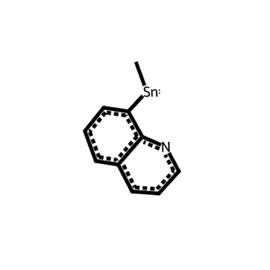 [CH3][Sn][c]1cccc2cccnc12